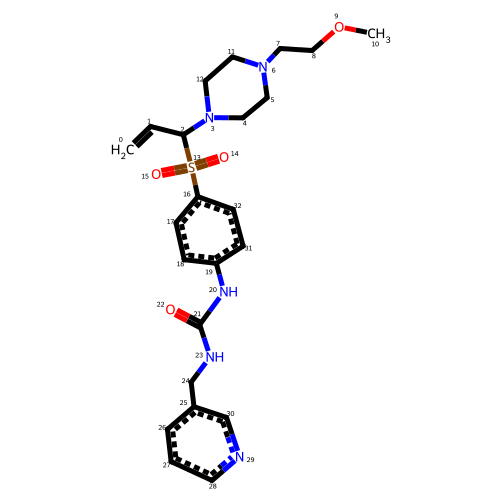 C=CC(N1CCN(CCOC)CC1)S(=O)(=O)c1ccc(NC(=O)NCc2cccnc2)cc1